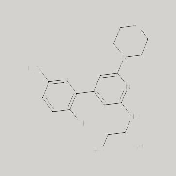 Cc1ccc(N)cc1-c1cc(N[C@H](C)CO)nc(N2CCOCC2)c1